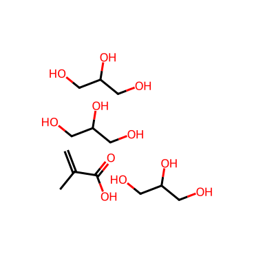 C=C(C)C(=O)O.OCC(O)CO.OCC(O)CO.OCC(O)CO